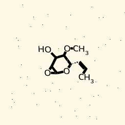 C/C=C\[C@@H]1OC2OC2C(O)C1OC